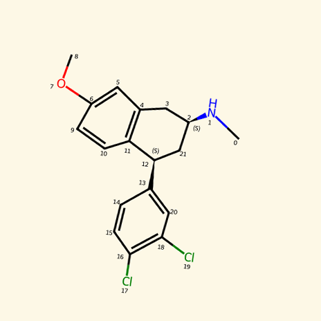 CN[C@@H]1Cc2cc(OC)ccc2[C@H](c2ccc(Cl)c(Cl)c2)C1